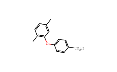 CCOC(=O)c1ccc(Oc2cc(C)ccc2C)cc1